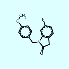 COc1ccc(CN2C(=O)Cc3ccc(F)cc32)cc1